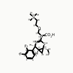 C[C@]1(c2cccc(F)c2F)N=C(N(COCC[Si](C)(C)C)C(=O)O)S[C@@]2(CF)C[C@H]21